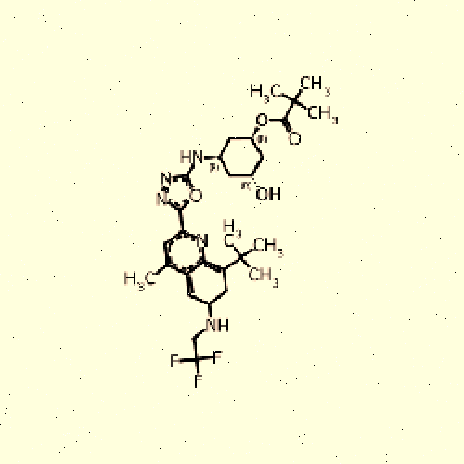 Cc1cc(-c2nnc(N[C@@H]3C[C@@H](O)C[C@H](OC(=O)C(C)(C)C)C3)o2)nc2c1=CC(NCC(F)(F)F)CC=2C(C)(C)C